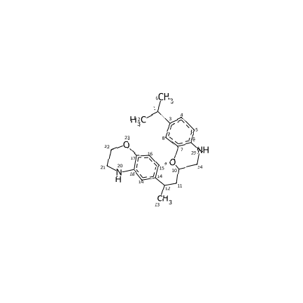 CC(C)c1ccc2c(c1)OC(CC(C)c1ccc3c(c1)NCCO3)CN2